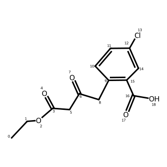 CCOC(=O)CC(=O)Cc1ccc(Cl)cc1C(=O)O